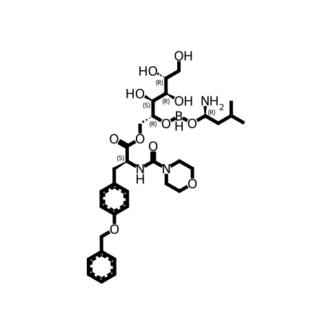 CC(C)C[C@H](N)OBO[C@H](COC(=O)[C@H](Cc1ccc(OCc2ccccc2)cc1)NC(=O)N1CCOCC1)[C@@H](O)[C@H](O)[C@H](O)CO